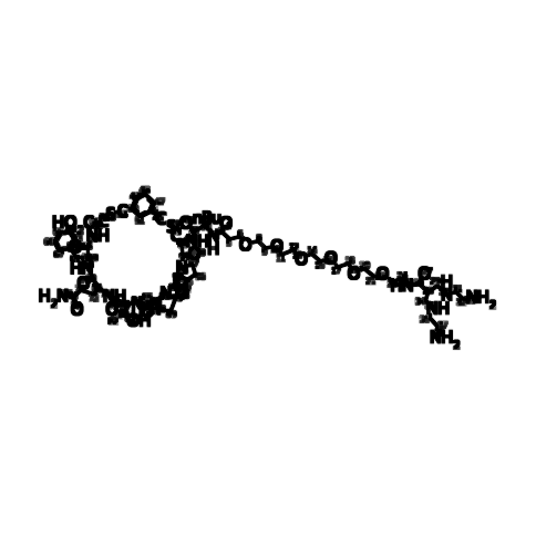 CCCC[C@H](NC(=O)CCOCCOCCOCCOCCOCCOCCNC(=O)C(CNCCN)CNCCN)C(=O)N[C@H]1CSCc2cccc(c2)CSCC(C(=O)O)NC(=O)[C@H](Cc2ccccc2)NC(=O)[C@H](CCC(N)=O)NC(=O)[C@H]([C@@H](C)O)NC(=O)[C@@H]2CCCN2C(=O)[C@@H]2CCCN2C1=O